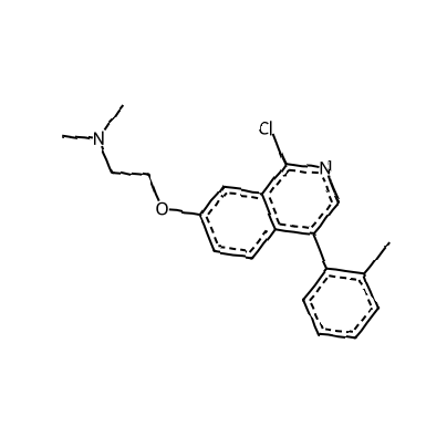 Cc1ccccc1-c1cnc(Cl)c2cc(OCCN(C)C)ccc12